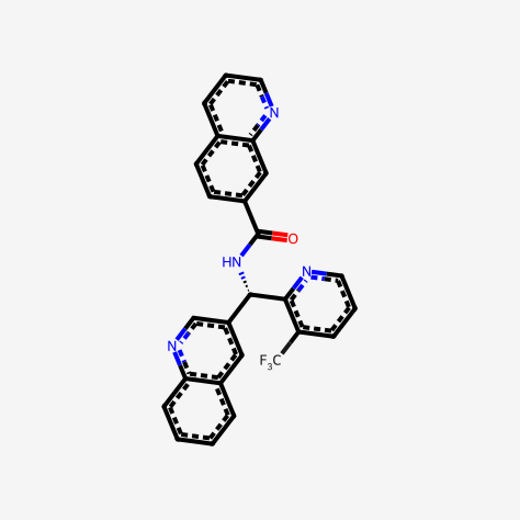 O=C(N[C@@H](c1cnc2ccccc2c1)c1ncccc1C(F)(F)F)c1ccc2cccnc2c1